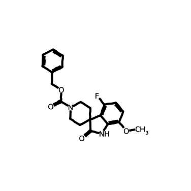 COc1ccc(F)c2c1NC(=O)C21CCN(C(=O)OCc2ccccc2)CC1